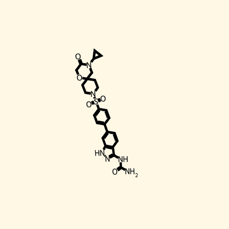 NC(=O)Nc1n[nH]c2cc(-c3ccc(S(=O)(=O)N4CCC5(CC4)CN(C4CC4)C(=O)CO5)cc3)ccc12